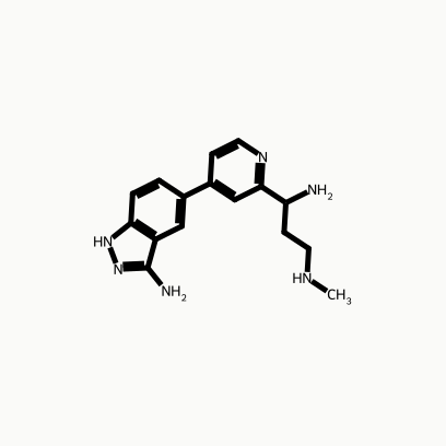 CNCCC(N)c1cc(-c2ccc3[nH]nc(N)c3c2)ccn1